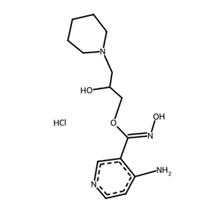 Cl.Nc1ccncc1C(=NO)OCC(O)CN1CCCCC1